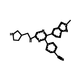 Cn1cc2cc(-c3ncc(NCC4CCNC4)nc3-c3ccc(C#N)cc3)ccc2n1